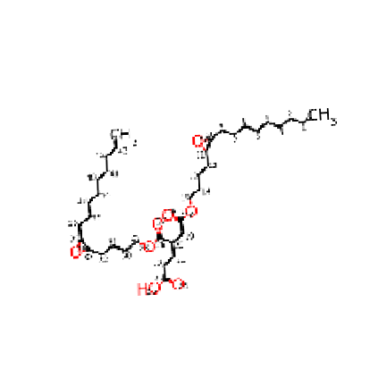 CCCCCCCCCC1OC1CCCCOC(=O)CC(CCC(=O)O)C(=O)OCCCCC1OC1CCCCCCCCC